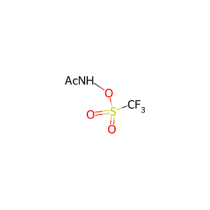 CC(=O)NOS(=O)(=O)C(F)(F)F